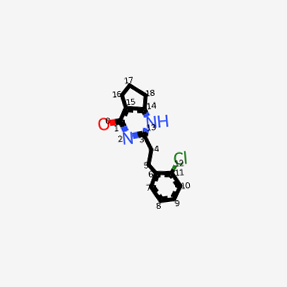 O=c1nc(CCc2ccccc2Cl)[nH]c2c1CCC2